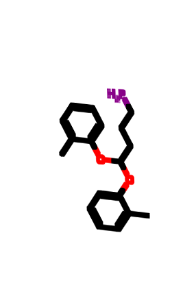 Cc1ccccc1OC(CCCP)Oc1ccccc1C